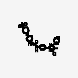 Cc1c(Cl)nc(-c2ccc(NC(=O)Nc3ccc(N4CCN(S(C)(=O)=O)CC4)cc3)cc2)nc1N1CCOCC1